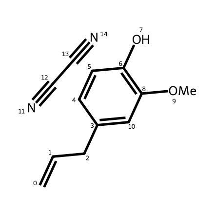 C=CCc1ccc(O)c(OC)c1.N#CC#N